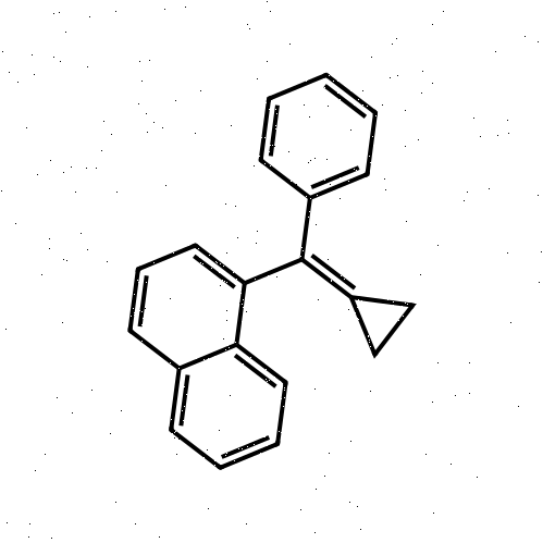 c1ccc(C(=C2CC2)c2cccc3ccccc23)cc1